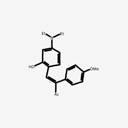 CCN(CC)c1ccc(/C=C(/C(C)=O)c2ccc(OC)cc2)c(O)c1